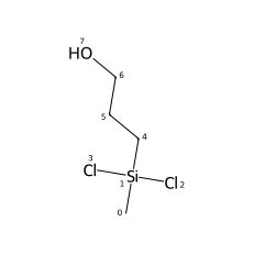 C[Si](Cl)(Cl)CCCO